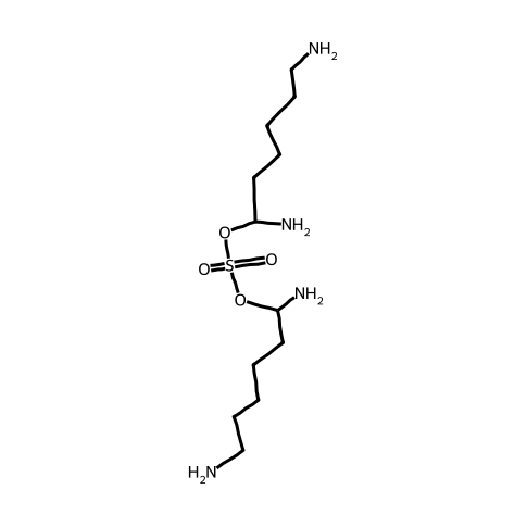 NCCCCCC(N)OS(=O)(=O)OC(N)CCCCCN